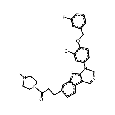 CN1CCN(C(=O)CCc2ccc3c4c(sc3c2)N(c2ccc(OCc3cccc(F)c3)c(Cl)c2)CN=C4)CC1